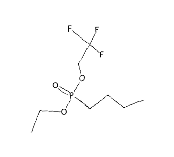 CCCCP(=O)(OCC)OCC(F)(F)F